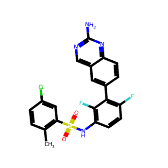 Cc1ccc(Cl)cc1S(=O)(=O)Nc1ccc(F)c(-c2ccc3nc(N)ncc3c2)c1F